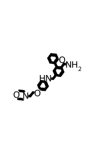 NC(=O)c1ccc(CNc2ccc(OCCN3CCOCC3)cc2)cc1-c1ccccc1